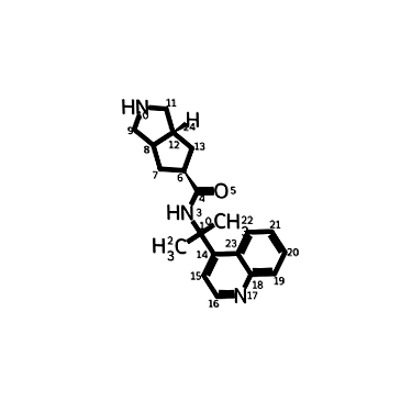 CC(C)(NC(=O)[C@H]1CC2CNC[C@@H]2C1)c1ccnc2ccccc12